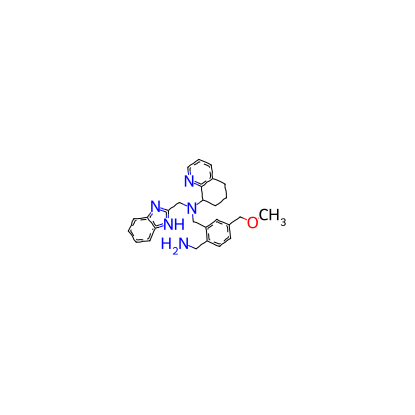 COCc1ccc(CN)c(CN(Cc2nc3ccccc3[nH]2)C2CCCc3cccnc32)c1